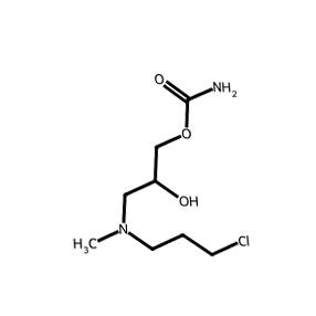 CN(CCCCl)CC(O)COC(N)=O